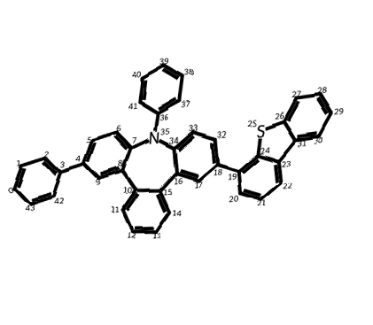 c1ccc(-c2ccc3c(c2)-c2ccccc2-c2cc(-c4cccc5c4sc4ccccc45)ccc2N3c2ccccc2)cc1